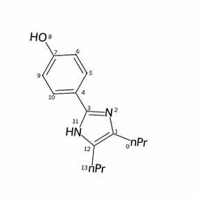 CCCc1nc(-c2ccc(O)cc2)[nH]c1CCC